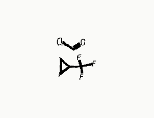 FC(F)(F)C1CC1.O=CCl